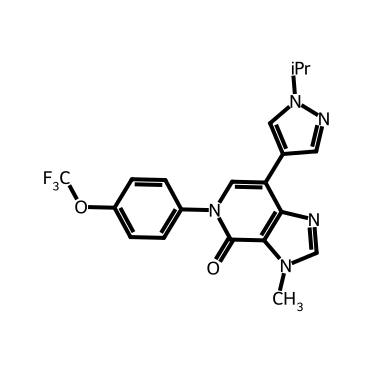 CC(C)n1cc(-c2cn(-c3ccc(OC(F)(F)F)cc3)c(=O)c3c2ncn3C)cn1